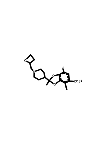 Cc1c(C(=O)O)cc(Cl)c2c1OC(C)(C1CCN(CC3CCO3)CC1)O2